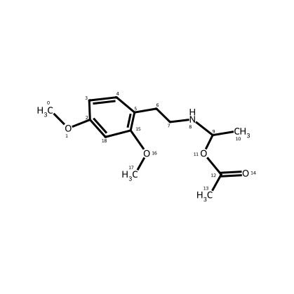 COc1ccc(CCNC(C)OC(C)=O)c(OC)c1